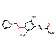 COC(=O)/C=C/c1cc(OC)c(OCc2ccccc2)cc1[N+](=O)[O-]